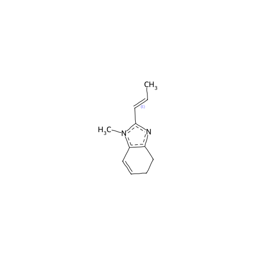 C/C=C/c1nc2c(n1C)C=CCC2